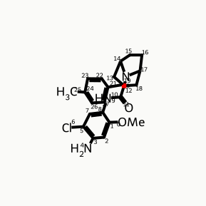 COc1cc(N)c(Cl)cc1NC(=O)C1CC2CCC(C1)N2Cc1ccc(C)cc1